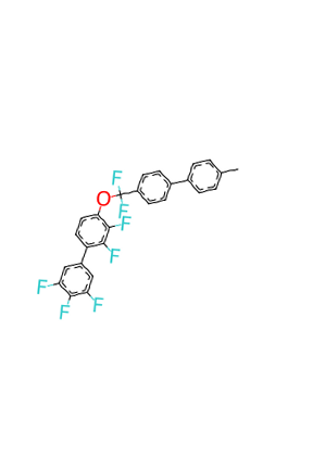 Cc1ccc(-c2ccc(C(F)(F)Oc3ccc(-c4cc(F)c(F)c(F)c4)c(F)c3F)cc2)cc1